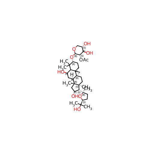 CC(=O)O[C@@H]1[C@@H](O[C@@H]2CC[C@@]34C[C@@]35CC[C@@]3(C)[C@H]([C@@]6(C)CC[C@@H](C(C)(C)O)O6)[C@H](O)C[C@]3(C)[C@H]5C[C@@H](O)C4C2(C)C)OC[C@H](O)[C@H]1O